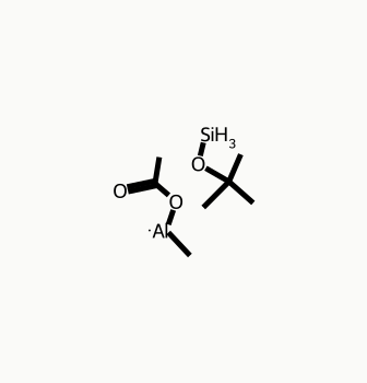 CC(C)(C)O[SiH3].[CH3][Al][O]C(C)=O